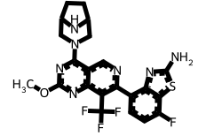 COc1nc(N2CC3CCC(C2)N3)c2cnc(-c3ccc(F)c4sc(N)nc34)c(C(F)(F)F)c2n1